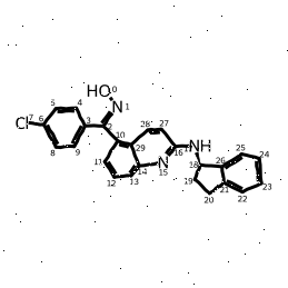 ON=C(c1ccc(Cl)cc1)c1cccc2nc(N[C@@H]3CCc4ccccc43)ccc12